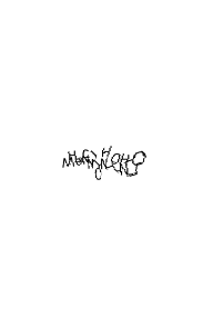 C/C=C\C(=N/NC)C(=O)NC[C@H](O)CN1CCc2ccccc2C1